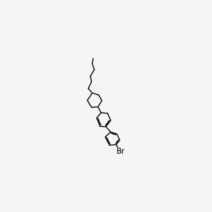 CCCCCCC1CCC(C2C=CC(c3ccc(Br)cc3)=CC2)CC1